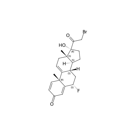 C[C@]12C=CC(=O)C=C1[C@@H](F)C[C@@H]1C2=CC[C@@]2(C)[C@H]1CC[C@]2(O)C(=O)CBr